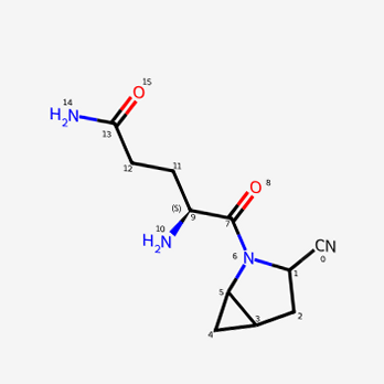 N#CC1CC2CC2N1C(=O)[C@@H](N)CCC(N)=O